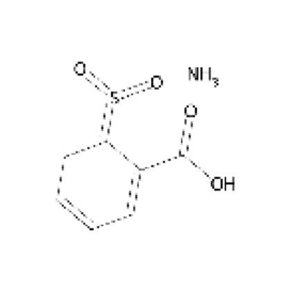 N.O=C(O)C1=CC=CCC1=S(=O)=O